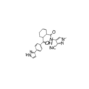 Cn1cc(NC(=O)C2CCCCC2C(=O)c2ccc(-c3cc[nH]n3)cc2)c(C#N)n1